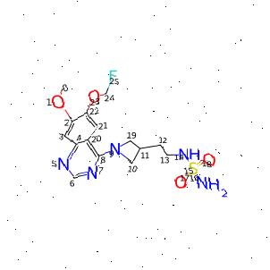 COc1cc2ncnc(N3CC(CCNS(N)(=O)=O)C3)c2cc1OCF